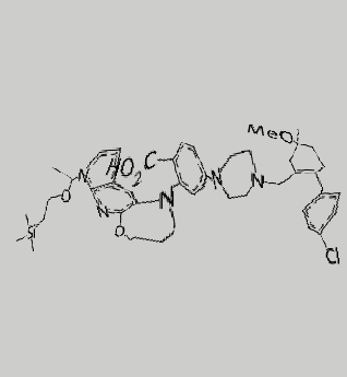 COC1(C)CCC(c2ccc(Cl)cc2)=C(CN2CCN(c3ccc(C(=O)O)c(N4CCCOc5nc6c(ccn6C(C)OCC[Si](C)(C)C)cc54)c3)CC2)C1